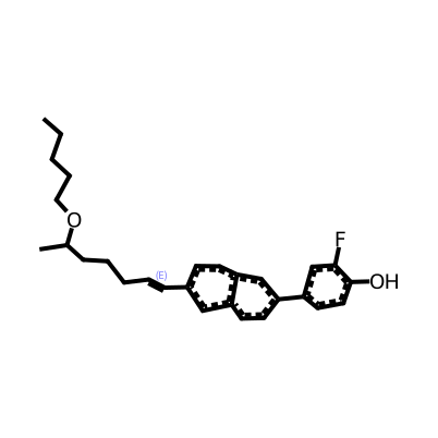 CCCCCOC(C)CCC/C=C/c1ccc2cc(-c3ccc(O)c(F)c3)ccc2c1